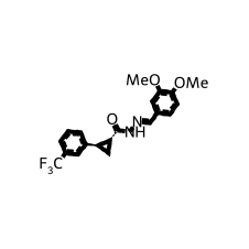 COc1ccc(C=NNC(=O)[C@@H]2C[C@H]2c2cccc(C(F)(F)F)c2)cc1OC